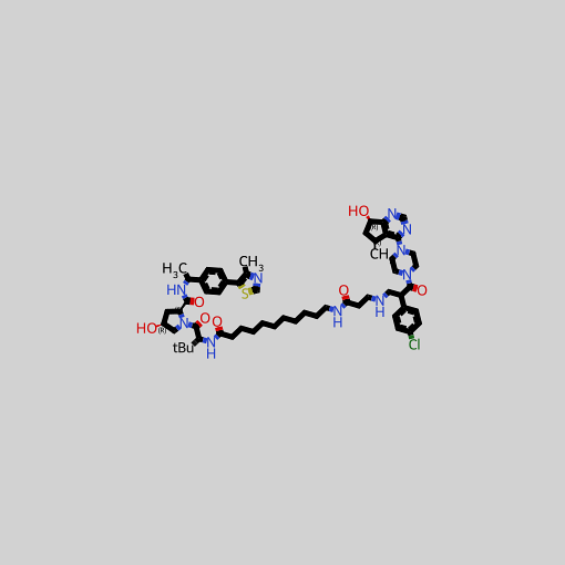 Cc1ncsc1-c1ccc(C(C)NC(=O)[C@@H]2C[C@@H](O)CN2C(=O)C(NC(=O)CCCCCCCCCCNC(=O)CCNCC(C(=O)N2CCN(c3ncnc4c3[C@H](C)C[C@H]4O)CC2)c2ccc(Cl)cc2)C(C)(C)C)cc1